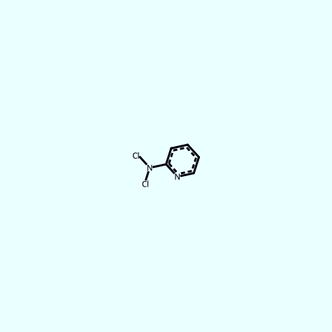 ClN(Cl)c1ccccn1